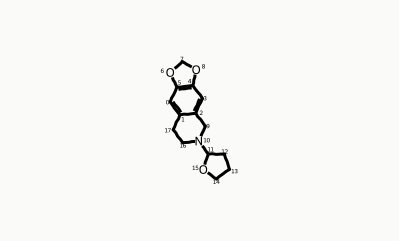 c1c2c(cc3c1OCO3)CN(C1CCCO1)CC2